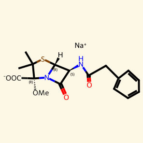 CO[C@@]1(C(=O)[O-])N2C(=O)[C@H](NC(=O)Cc3ccccc3)[C@H]2SC1(C)C.[Na+]